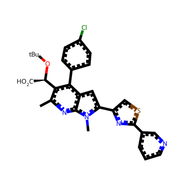 Cc1nc2c(cc(-c3csc(-c4cccnc4)n3)n2C)c(-c2ccc(Cl)cc2)c1[C@H](OC(C)(C)C)C(=O)O